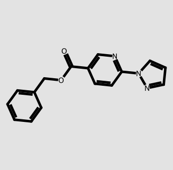 O=C(OCc1ccccc1)c1ccc(-n2cccn2)nc1